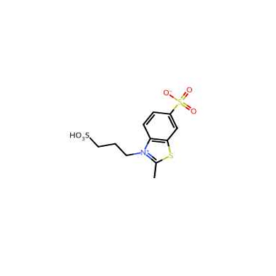 Cc1sc2cc(S(=O)(=O)[O-])ccc2[n+]1CCCS(=O)(=O)O